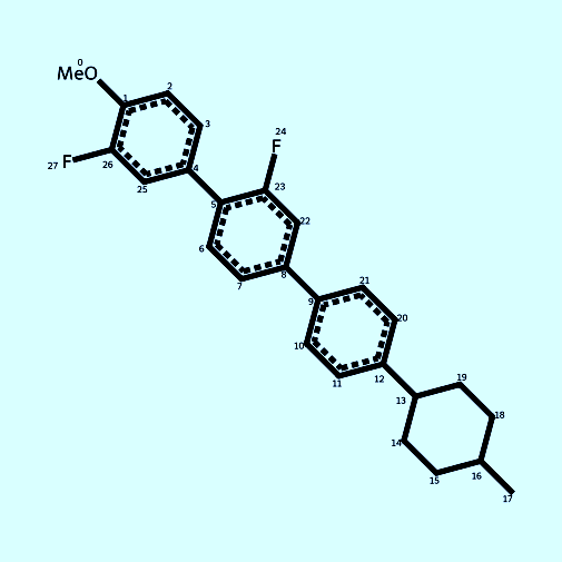 COc1ccc(-c2ccc(-c3ccc(C4CCC(C)CC4)cc3)cc2F)cc1F